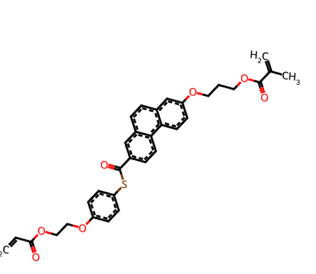 C=CC(=O)OCCOc1ccc(SC(=O)c2ccc3c(ccc4cc(OCCCOC(=O)C(=C)C)ccc43)c2)cc1